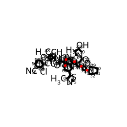 Cc1ncsc1-c1ccc([C@H](C)NC(=O)[C@@H]2C[C@@H](O)CN2C(=O)[C@@H](NC(=O)CN2C3CCC2CN(CCCCc2ccc(C(=O)N[C@H]4C(C)(C)[C@H](Oc5ccc(C#N)c(Cl)c5)C4(C)C)cn2)C3)C(C)(C)C)cc1